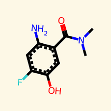 CN(C)C(=O)c1cc(O)c(F)cc1N